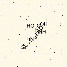 O=C(CSSCCNCCCCCC1CCSS1)Nc1ccc(O)c(C(=O)O)c1